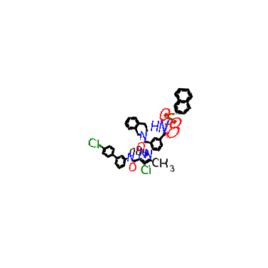 CCCCN(C(=O)c1nn(-c2ccc(C(=O)NS(=O)(=O)c3ccc4ccccc4c3)cc2C(=O)N2CCc3ccccc3C2)c(C)c1Cl)c1cccc(-c2ccc(Cl)cc2)c1